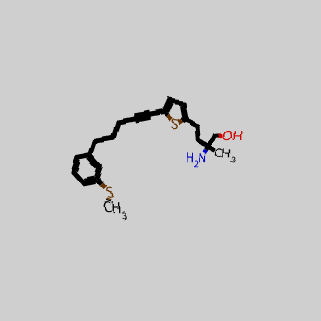 CSc1cccc(CCCC#Cc2ccc(CCC(C)(N)CO)s2)c1